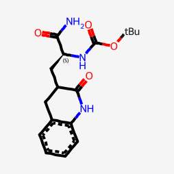 CC(C)(C)OC(=O)N[C@@H](CC1Cc2ccccc2NC1=O)C(N)=O